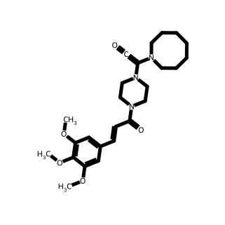 COc1cc(C=CC(=O)N2CCN(C(=C=O)N3CCCCCCC3)CC2)cc(OC)c1OC